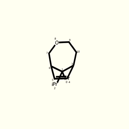 CC(C)C1(C(C)C)C2C=CC1COCC2